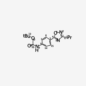 CC(C)c1noc(-c2ccc(NC(=O)OC(C)(C)C)cc2)n1